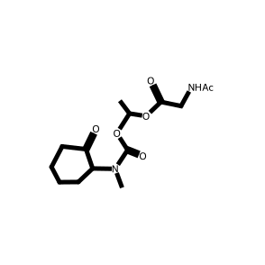 CC(=O)NCC(=O)OC(C)OC(=O)N(C)C1CCCCC1=O